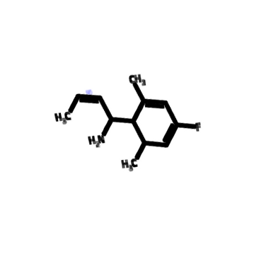 C/C=C\C(N)C1C(C)=CC(F)=CC1C